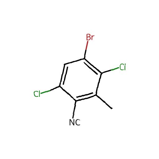 [C-]#[N+]c1c(Cl)cc(Br)c(Cl)c1C